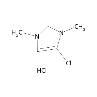 CN1C=C(Cl)N(C)C1.Cl